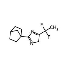 CC(F)(F)C1=NC(C23CCC(CC2)C3)=NC1